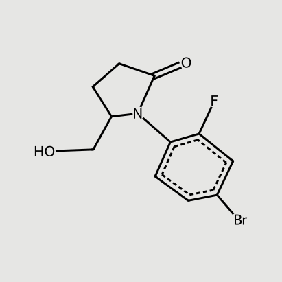 O=C1CCC(CO)N1c1ccc(Br)cc1F